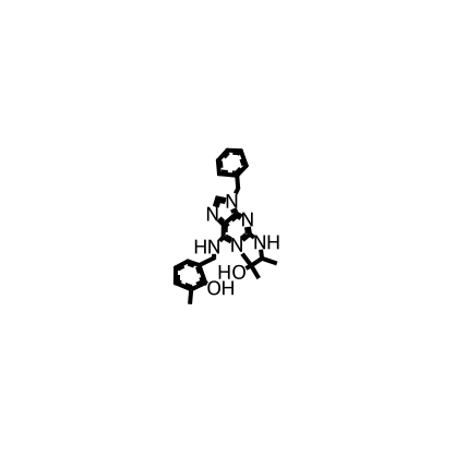 Cc1cccc(CNc2nc(NC(C)C(C)(C)O)nc3c2ncn3Cc2ccccc2)c1O